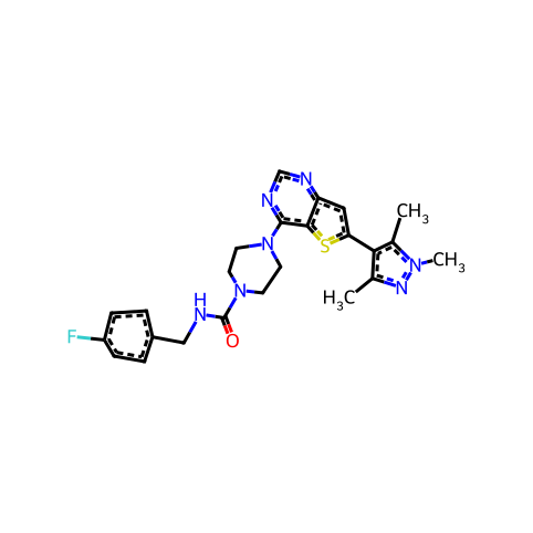 Cc1nn(C)c(C)c1-c1cc2ncnc(N3CCN(C(=O)NCc4ccc(F)cc4)CC3)c2s1